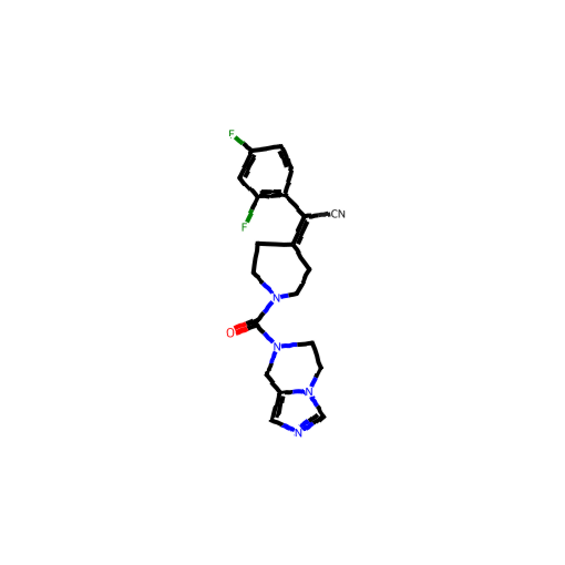 N#CC(=C1CCN(C(=O)N2CCn3cncc3C2)CC1)c1ccc(F)cc1F